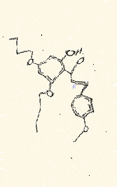 CCCCOc1cc(O)c(C(=O)/C=C/c2ccc(OC)cc2)c(OCCCC)c1